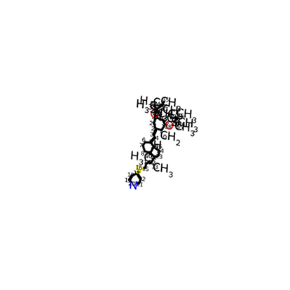 C=C1/C(=C\C=C2/CCC[C@]3(C)C([C@H](C)CCSc4ccncc4)CC[C@@H]23)CC(O[Si](C)(C)C(C)(C)C)CC1O[Si](C)(C)C(C)(C)C